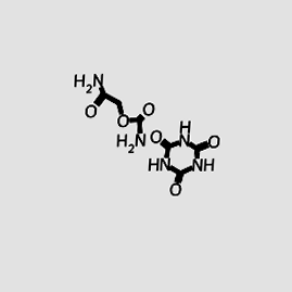 NC(=O)COC(N)=O.O=c1[nH]c(=O)[nH]c(=O)[nH]1